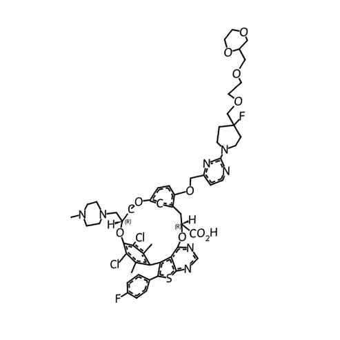 Cc1c(Cl)c2c(Cl)c(C)c1-c1c(-c3ccc(F)cc3)sc3ncnc(c13)O[C@@H](C(=O)O)Cc1cc(ccc1OCc1ccnc(N3CCC(F)(COCCOCC4COCCO4)CC3)n1)OC[C@@H](CN1CCN(C)CC1)O2